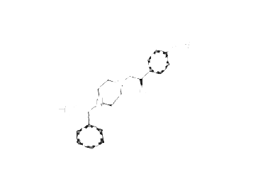 Cc1ccc(C(=O)CN2CCN([C@@H](C)c3ccccc3)CC2)cc1